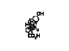 C[C@]12CCC(O)CC1CC[C@@H]1[C@@H]2CC[C@]2(C)C(C(=O)O)CC[C@@]12N